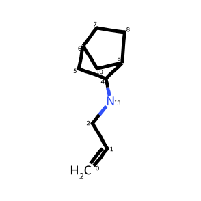 C=CC[N]C1CC2CCC1C2